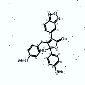 COc1ccc(CC2=C(c3ccc4nonc4c3)C(=O)OC2(O)c2ccc(OC)cc2)cc1